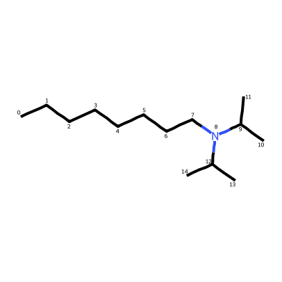 CCCCCCCCN(C(C)C)C(C)C